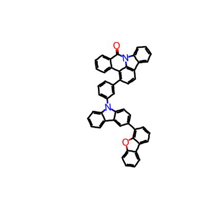 O=c1c2ccccc2c2c(-c3cccc(-n4c5ccccc5c5cc(-c6cccc7c6oc6ccccc67)ccc54)c3)ccc3c4ccccc4n1c32